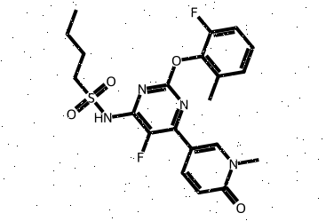 CCCCS(=O)(=O)Nc1nc(Oc2c(C)cccc2F)nc(-c2ccc(=O)n(C)c2)c1F